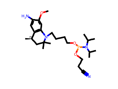 COc1cc2c(cc1N)[C@H](C)CC(C)(C)N2CCCCOP(OCCC#N)N(C(C)C)C(C)C